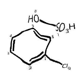 Clc1ccccc1.O=S(=O)(O)O